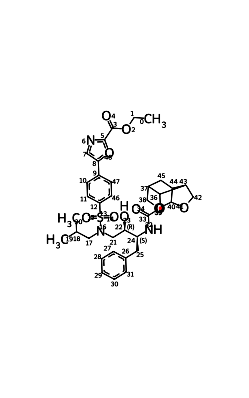 CCOC(=O)c1ncc(-c2ccc(S(=O)(=O)N(CC(C)C)C[C@@H](O)[C@H](Cc3ccccc3)NC(=O)OC3C4COC5OCC3C5C4)cc2)o1